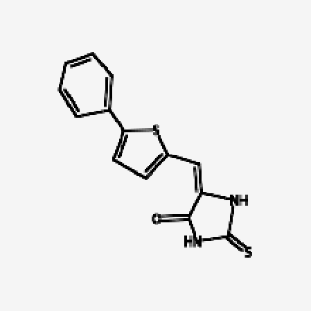 O=C1NC(=S)NC1=Cc1ccc(-c2ccccc2)s1